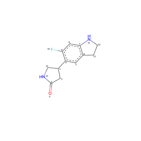 O=C1CC(c2cc3c(cc2F)NCC3)CN1